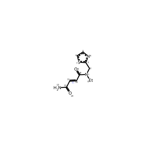 CCN(Cc1nccs1)C(=O)/C=C/C(N)=O